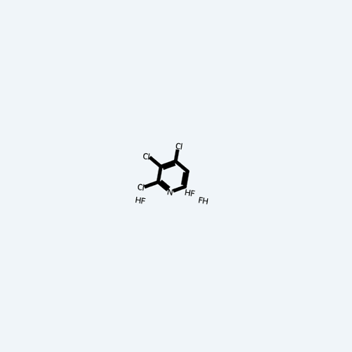 Clc1ccnc(Cl)c1Cl.F.F.F